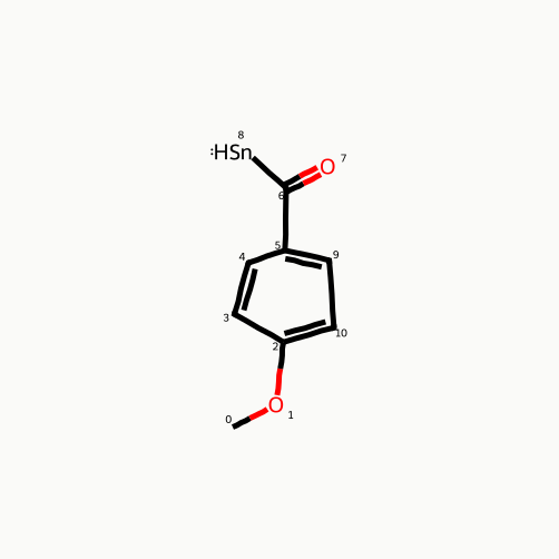 COc1ccc([C](=O)[SnH])cc1